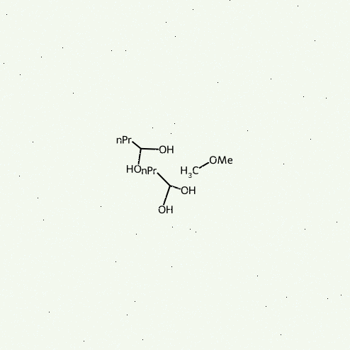 CCCC(O)O.CCCC(O)O.COC